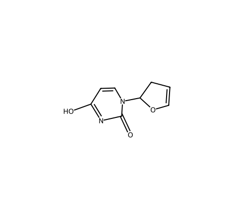 O=c1nc(O)ccn1C1CC=CO1